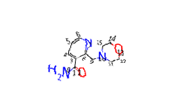 NC(=O)c1cccnc1CN1CCOCC1